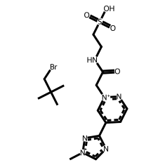 CC(C)(C)CBr.Cn1cnc(-c2ccn[n+](CC(=O)NCCS(=O)(=O)O)c2)n1